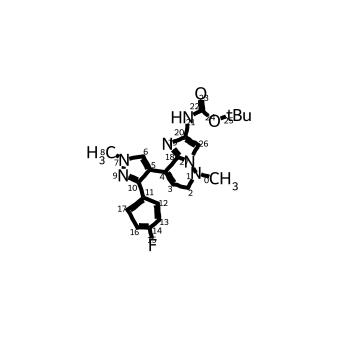 CN1CC=C(c2cn(C)nc2-c2ccc(F)cc2)c2nc(NC(=O)OC(C)(C)C)cn21